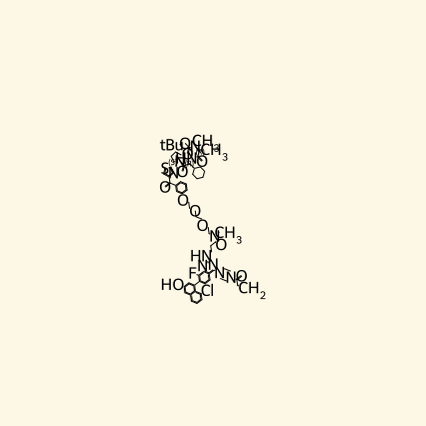 C=CC(=O)N1CCN(c2nc(NCCC(=O)N(C)CCOCCOCCOc3cccc(C(=O)c4csc([C@@H]5CCCN5C(=O)[C@H](NC(=O)[C@@H](C)N(C)C(=O)OC(C)(C)C)C5CCCCC5)n4)c3)nc3c(F)c(-c4cc(O)cc5ccccc45)c(Cl)cc23)CC1